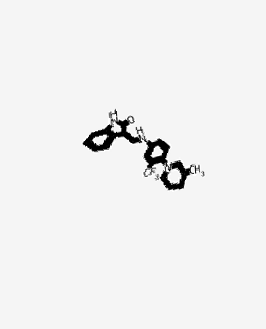 CC1CCCN(c2ccc(NC=C3C(=O)Nc4ccccc43)cc2C(F)(F)F)C1